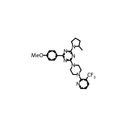 COc1ccc(-c2nc(N3CCN(c4ncccc4C(F)(F)F)CC3)nc(N3CCCC3C)n2)cc1